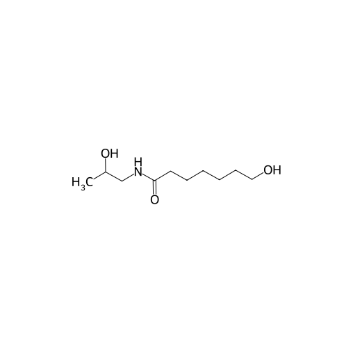 CC(O)CNC(=O)CCCCCCO